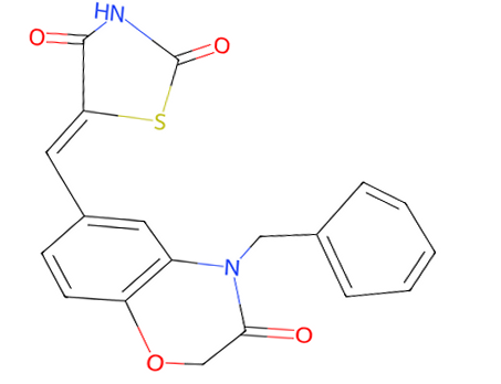 O=C1NC(=O)C(=Cc2ccc3c(c2)N(Cc2ccccc2)C(=O)CO3)S1